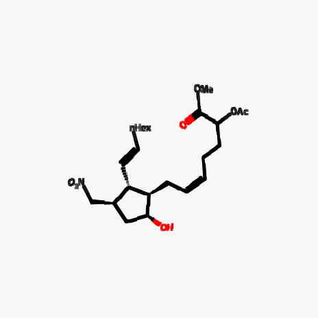 CCCCCC/C=C/[C@H]1[C@H](C[N+](=O)[O-])C[C@H](O)[C@@H]1C/C=C\CCC(OC(C)=O)C(=O)OC